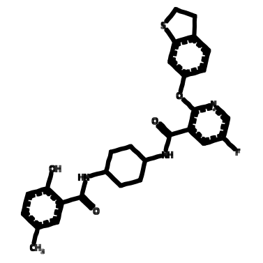 Cc1ccc(O)c(C(=O)NC2CCC(NC(=O)c3cc(F)cnc3Oc3ccc4c(c3)SCC4)CC2)c1